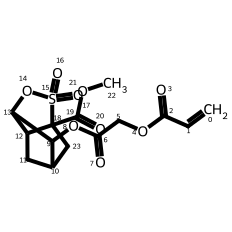 C=CC(=O)OCC(=O)OC1C2CC3C1OS(=O)(=O)C3(C(=O)OC)C2